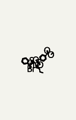 CCCCN(c1sc2ccccc2c1Br)S(=O)(=O)c1ccc(C(=O)OC)cc1